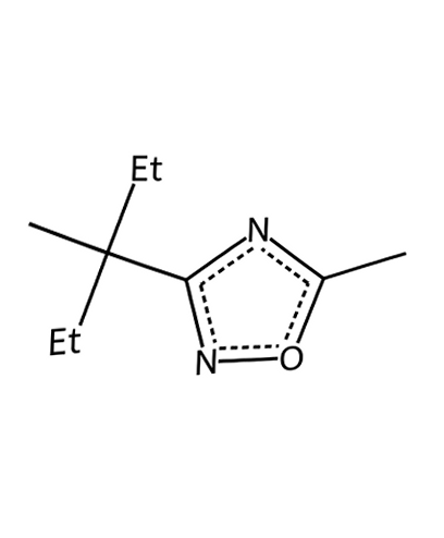 CCC(C)(CC)c1noc(C)n1